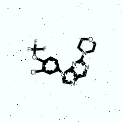 FC(F)(F)Oc1ccc(-n2cnc3cnc(N4CCOCC4)nc32)cc1Cl